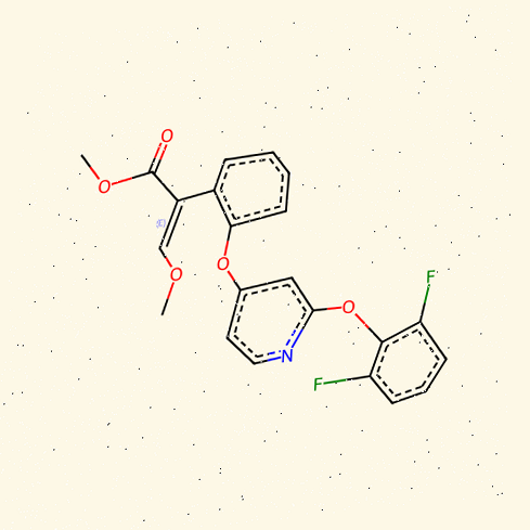 CO/C=C(/C(=O)OC)c1ccccc1Oc1ccnc(Oc2c(F)cccc2F)c1